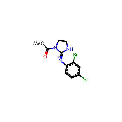 COC(=O)N1CCN/C1=N\c1ccc(Br)cc1Br